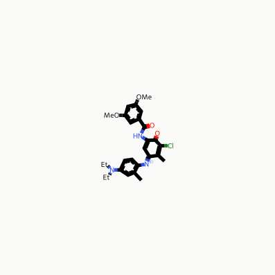 CCN(CC)c1ccc(/N=C2\C=C(NC(=O)c3cc(OC)cc(OC)c3)C(=O)C(Cl)=C2C)c(C)c1